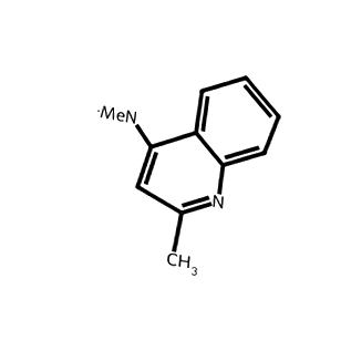 C[N]c1cc(C)nc2ccccc12